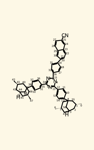 C[C@@H]1C[C@@H]2C[C@H](C)CC(c3ccc(-c4nc(-c5ccc(-c6ccc7cc(C#N)ccc7c6)cc5)nc(-c5ccc(C67C[C@H](C)C[C@H](C[C@H](C)C6)C7)cc5)n4)cc3)(C1)C2